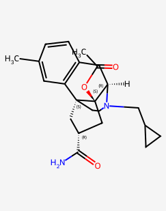 CC(=O)O[C@@]12C[C@H](C(N)=O)C[C@@]13CCN(CC1CC1)[C@@H]2Cc1ccc(C)cc13